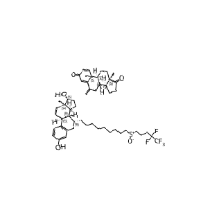 C=C1C[C@@H]2[C@H](CC[C@]3(C)C(=O)CC[C@@H]23)[C@@]2(C)C=CC(=O)C=C12.C[C@]12CC[C@@H]3c4ccc(O)cc4C[C@@H](CCCCCCCCC[S+]([O-])CCCC(F)(F)C(F)(F)F)[C@H]3[C@@H]1CC[C@@H]2O